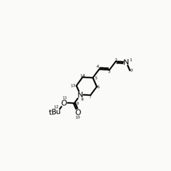 C/N=C\C=C\C1CCN(C(=O)OC(C)(C)C)CC1